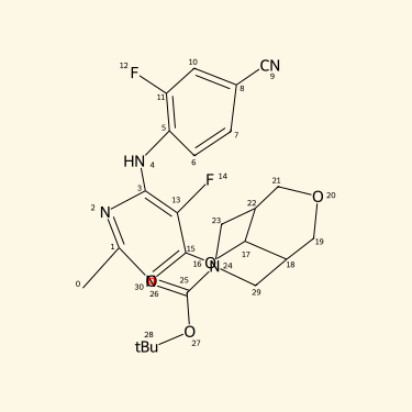 Cc1nc(Nc2ccc(C#N)cc2F)c(F)c(OC2C3COCC2CN(C(=O)OC(C)(C)C)C3)n1